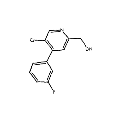 OCc1cc(-c2cccc(F)c2)c(Cl)cn1